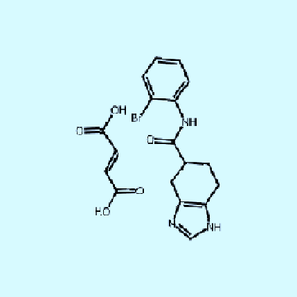 O=C(Nc1ccccc1Br)C1CCc2[nH]cnc2C1.O=C(O)/C=C/C(=O)O